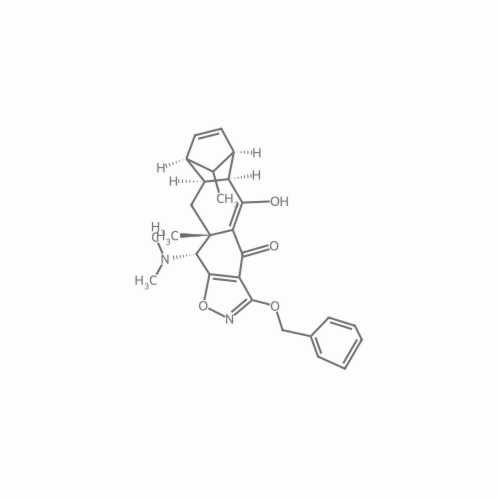 CC1[C@H]2C=C[C@@H]1[C@@H]1C[C@]3(C)C(=C(O)[C@@H]12)C(=O)c1c(OCc2ccccc2)noc1[C@@H]3N(C)C